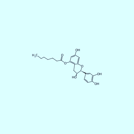 CCCCCCC(=O)Oc1cc(O)cc2c1C[C@H](O)[C@H](c1ccc(O)c(O)c1)O2